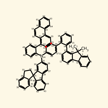 CC1(C)c2ccccc2-c2cccc(-c3ccccc3-c3ccc(N(c4ccc5c(c4)C4(CCc6ccccc64)c4ccccc4-5)c4ccccc4-c4cccc5c4ccc4ccccc45)cc3)c21